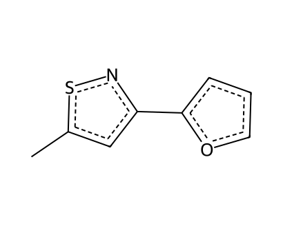 Cc1cc(-c2ccco2)ns1